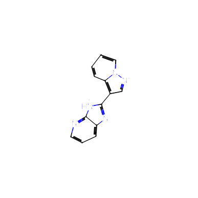 c1cnc2[nH]c(-c3cnn4ccccc34)nc2c1